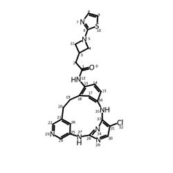 O=C(CC1CN(c2nccs2)C1)Nc1ccc2cc1CCc1cncc(c1)Nc1ncc(Cl)c(n1)N2